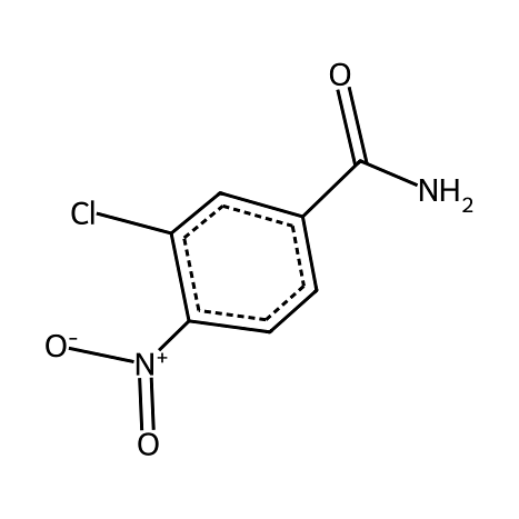 NC(=O)c1ccc([N+](=O)[O-])c(Cl)c1